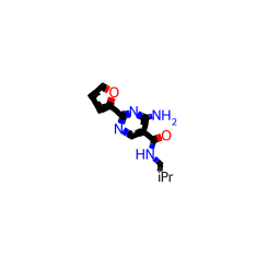 CC(C)CNC(=O)c1cnc(-c2ccco2)nc1N